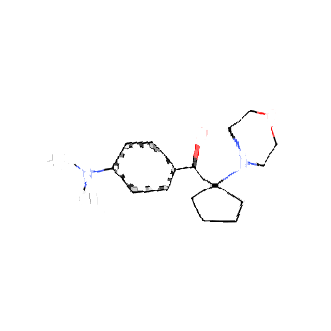 CN(C)c1ccc(C(=O)C2(N3CCOCC3)CCCC2)cc1